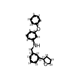 c1ccc(Oc2cccc(NCc3cccc(C4CCCO4)c3)c2)cc1